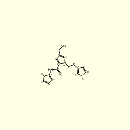 CC(C)Cc1cc(C(=O)Nc2nccs2)n(CCc2ccsc2)c1